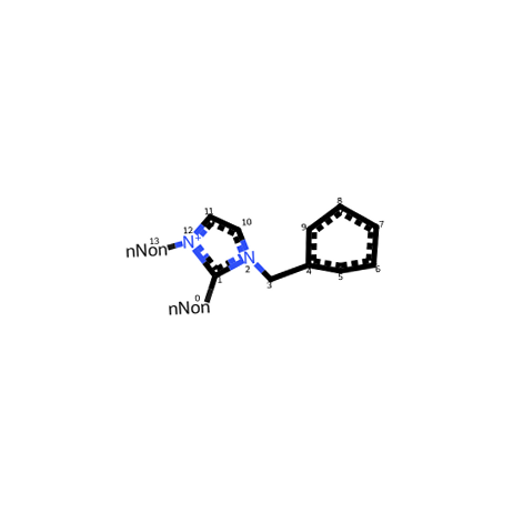 CCCCCCCCCc1n(Cc2ccccc2)cc[n+]1CCCCCCCCC